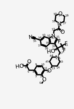 COc1cc(CC(=O)O)ccc1OC1CCN(CC(O)(c2cn(CC(=O)N3CCOCC3)c3cc(C#N)ccc23)C(F)(F)F)CC1